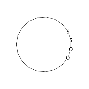 C1CCCCCCCOOSSCCCCCCC1